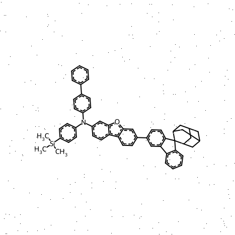 C[Si](C)(C)c1ccc(N(c2ccc(-c3ccccc3)cc2)c2ccc3c(c2)oc2cc(-c4ccc5c(c4)-c4ccccc4C54C5CC6CC(C5)CC4C6)ccc23)cc1